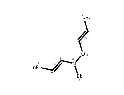 CCC/C=C/ON(/C=C/CCC)CC